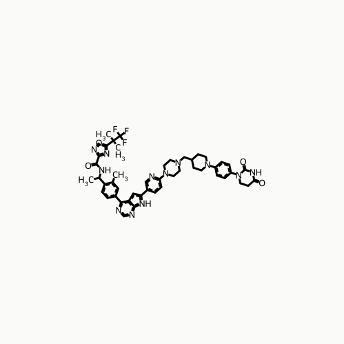 Cc1cc(-c2ncnc3[nH]c(-c4ccc(N5CCN(CC6CCN(c7ccc(N8CCC(=O)NC8=O)cc7)CC6)CC5)nc4)cc23)ccc1C(C)NC(=O)c1noc(C(C)(C)C(F)(F)F)n1